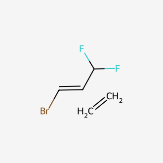 C=C.FC(F)C=CBr